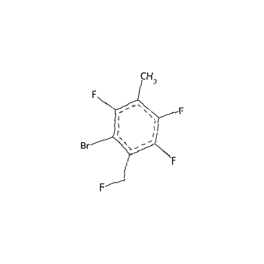 Cc1c(F)c(F)c(CF)c(Br)c1F